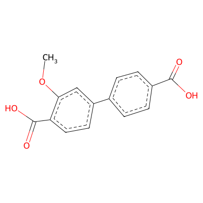 COc1cc(-c2ccc(C(=O)O)cc2)ccc1C(=O)O